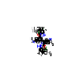 CC(C)(C)c1cccc(NC(=O)c2cc(C(C)(C)C#N)cc(-c3cc(C(=O)Nc4ccc(Cl)c(C(C)(C)C)c4F)cc(C(C)(C)C#N)c3)n2)c1Cl